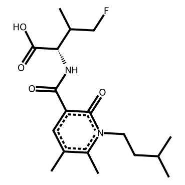 Cc1cc(C(=O)N[C@H](C(=O)O)C(C)CF)c(=O)n(CCC(C)C)c1C